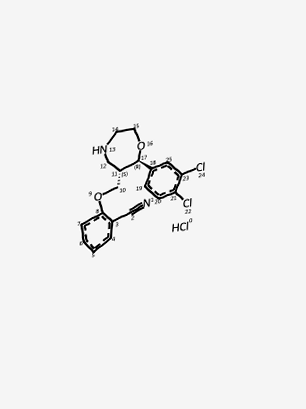 Cl.N#Cc1ccccc1OC[C@@H]1CNCCO[C@H]1c1ccc(Cl)c(Cl)c1